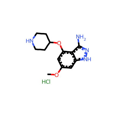 COc1cc(OC2CCNCC2)c2c(N)n[nH]c2c1.Cl